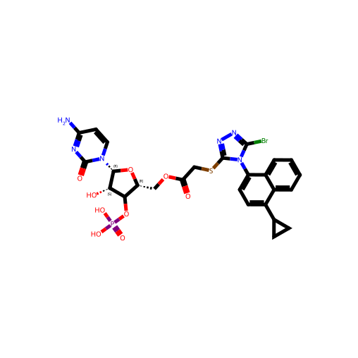 Nc1ccn([C@@H]2O[C@H](COC(=O)CSc3nnc(Br)n3-c3ccc(C4CC4)c4ccccc34)C(OP(=O)(O)O)[C@@H]2O)c(=O)n1